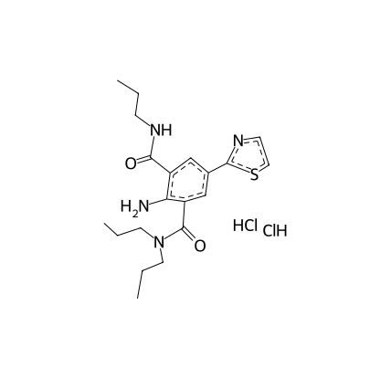 CCCNC(=O)c1cc(-c2nccs2)cc(C(=O)N(CCC)CCC)c1N.Cl.Cl